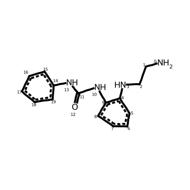 NCCNc1ccccc1NC(=O)Nc1ccccc1